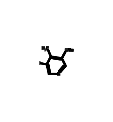 COc1cncc(I)c1C